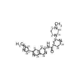 CN1CCCN(c2cc(C(=O)Nc3cc4cc(-c5cnn(C)c5)ncc4cn3)ccn2)CC1